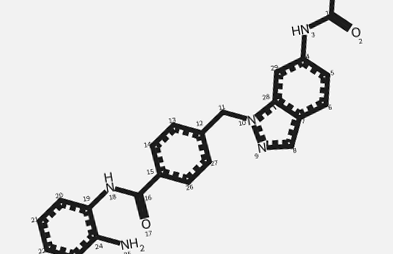 CC(=O)Nc1ccc2cnn(Cc3ccc(C(=O)Nc4ccccc4N)cc3)c2c1